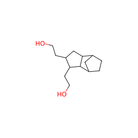 OCCC1CC2C3CCC(C3)C2C1CCO